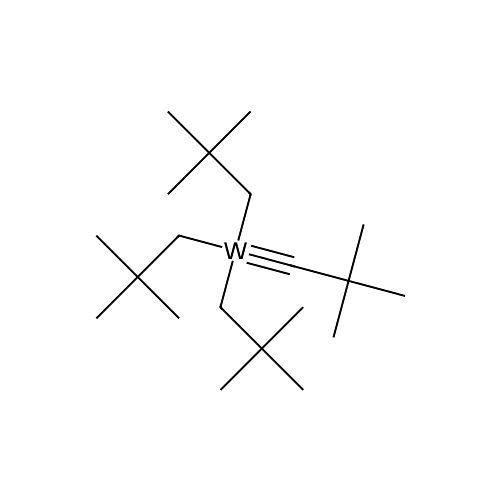 CC(C)(C)[C]#[W]([CH2]C(C)(C)C)([CH2]C(C)(C)C)[CH2]C(C)(C)C